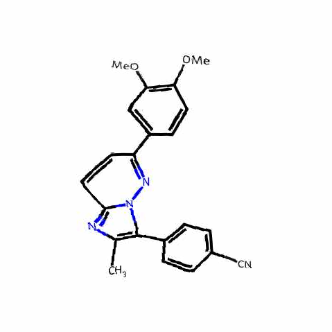 COc1ccc(-c2ccc3nc(C)c(-c4ccc(C#N)cc4)n3n2)cc1OC